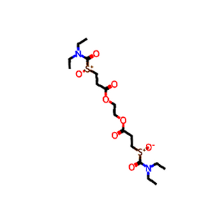 CCN(CC)C(=O)[S+]([O-])CCC(=O)OCCOC(=O)CC[S+]([O-])C(=O)N(CC)CC